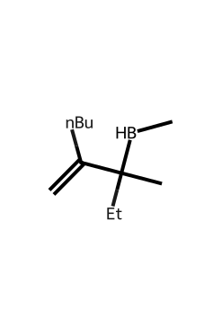 C=C(CCCC)C(C)(BC)CC